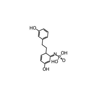 O=P(O)(O)/N=C1\C=C(O)C=CC1CCc1cccc(O)c1